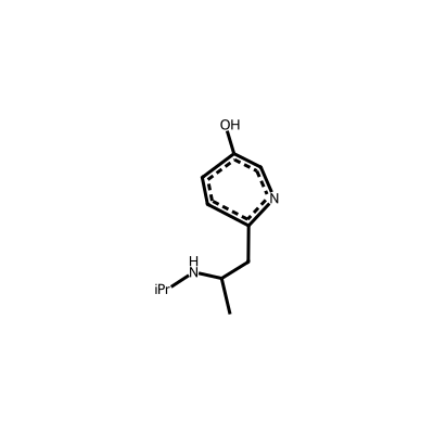 CC(C)NC(C)Cc1ccc(O)cn1